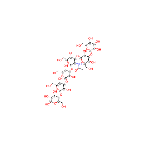 CC(=O)N[C@H]1[C@H](O[C@H]2[C@@H](O)[C@@H](CO)O[C@H](O[C@H]3[C@@H](O)[C@@H](CO)O[C@@H](O[C@H]4[C@H](O)[C@@H](O)[C@H](O)O[C@@H]4CO)[C@@H]3O)[C@@H]2O)O[C@H](CO)[C@H](O)[C@@H]1O[C@@H]1O[C@H](CO)[C@H](O)[C@H](O[C@H]2O[C@H](CO)[C@H](O)[C@H](O)[C@H]2O)[C@H]1O